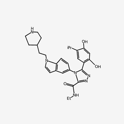 CCNC(=O)c1nnc(-c2cc(C(C)C)c(O)cc2O)n1-c1ccc2c(ccn2CCC2CCNCC2)c1